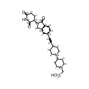 O=C(O)CN1CCC(N2CCC(C#Cc3ccc4c(c3)CN(C3CCC(=O)NC3=O)C4=O)CC2)CC1